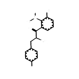 NC(Cc1ccc(O)cc1)C(=O)c1cccc(O)c1N(Cl)Cl